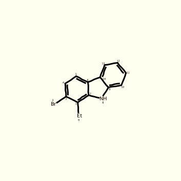 CCc1c(Br)ccc2c1[nH]c1ccccc12